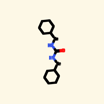 O=C(N[Se]C1CCCCC1)N[Se]C1CCCCC1